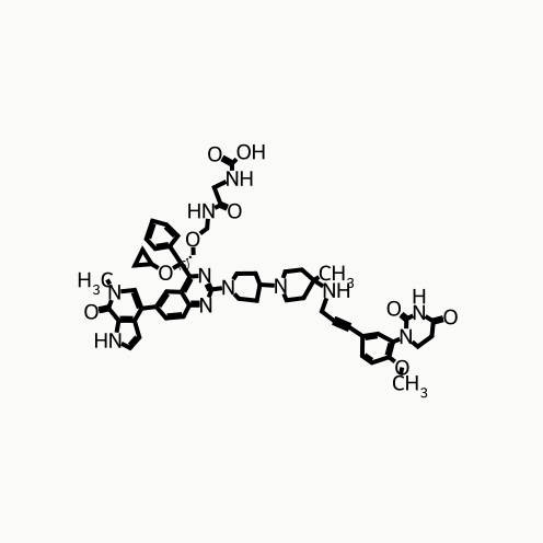 COc1ccc(C#CCNC2(C)CCN(C3CCN(c4nc([C@@](COCNC(=O)CNC(=O)O)(OC5CC5)c5ccccc5)c5cc(-c6cn(C)c(=O)c7[nH]ccc67)ccc5n4)CC3)CC2)cc1N1CCC(=O)NC1=O